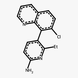 CCc1nc(N)ccc1-c1c(Cl)ccc2cccnc12